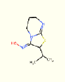 CC(C)C1SC2=NCCCN2/C1=N\O